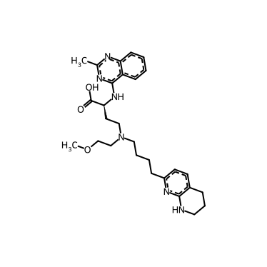 COCCN(CCCCc1ccc2c(n1)NCCC2)CC[C@H](Nc1nc(C)nc2ccccc12)C(=O)O